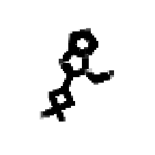 O=C[SH]1C(C2CC(F)(F)C2)=Nc2cncn21